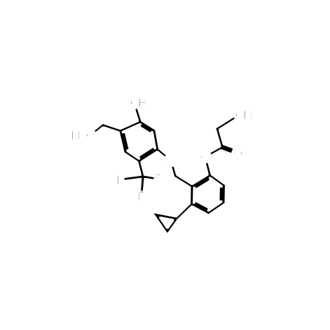 CCC(=O)Oc1cccc(C2CC2)c1COc1cc(C)c(CC)cc1C(F)(F)F